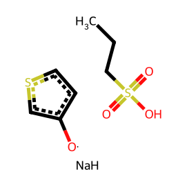 CCCS(=O)(=O)O.[NaH].[O]c1ccsc1